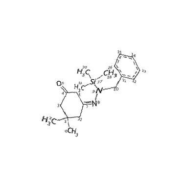 CC1(C)CC(=O)C/C(=N\N(Cc2ccccc2)[Si](C)(C)C)C1